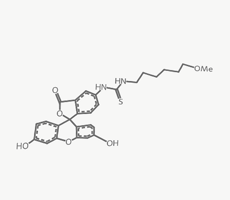 COCCCCCCNC(=S)Nc1ccc2c(c1)C(=O)OC21c2ccc(O)cc2Oc2cc(O)ccc21